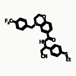 CCSc1ccc(C(CC#N)NC(=O)c2ccc3c(c2)N(Cc2ccc(C(F)(F)F)cc2)CCO3)cc1